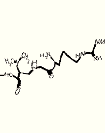 CNC(=N)NCCC[C@H](N)C(=O)NC[C@@H](C(=O)OC)N(C)C